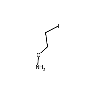 NOCCI